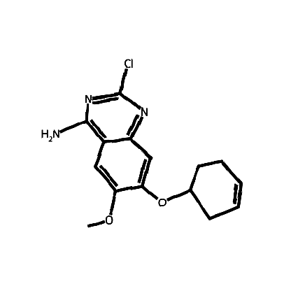 COc1cc2c(N)nc(Cl)nc2cc1OC1CC=CCC1